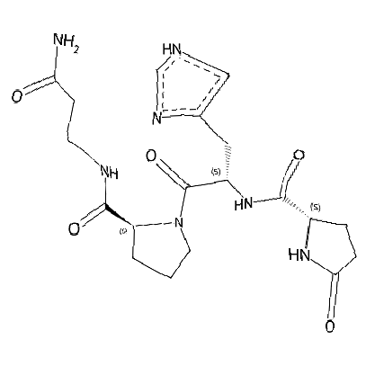 NC(=O)CCNC(=O)[C@@H]1CCCN1C(=O)[C@H](Cc1c[nH]cn1)NC(=O)[C@@H]1CCC(=O)N1